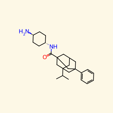 CC(C)C12CC3CC(C(=O)N[C@H]4CC[C@H](N)CC4)(CC(c4ccccc4)(C3)C1)C2